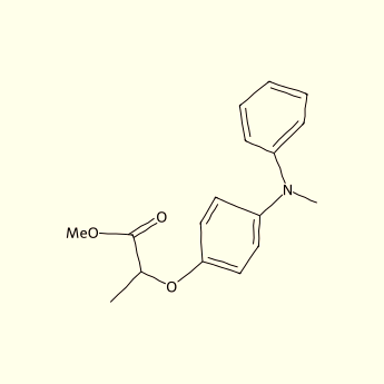 COC(=O)C(C)Oc1ccc(N(C)c2ccccc2)cc1